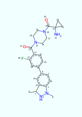 CC1NN(C)c2ccc(-c3ccc(C(=O)N4CCN(C(=O)C5(N)CC5)CC4)c(F)c3)cc21